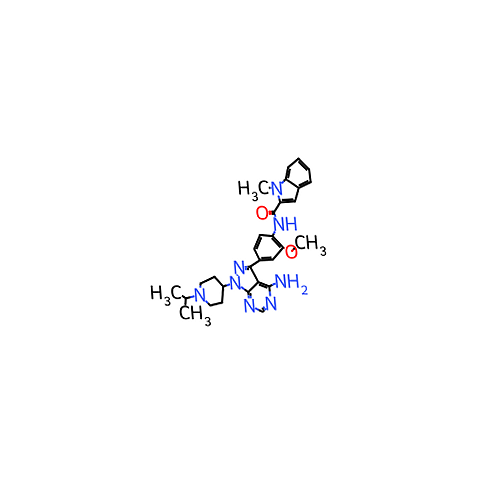 COc1cc(-c2nn(C3CCN(C(C)C)CC3)c3ncnc(N)c23)ccc1NC(=O)c1cc2ccccc2n1C